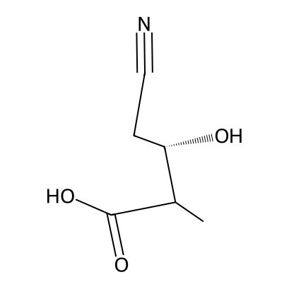 CC(C(=O)O)[C@@H](O)CC#N